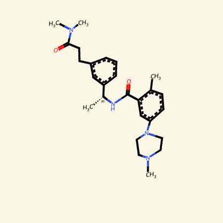 Cc1ccc(N2CCN(C)CC2)cc1C(=O)N[C@H](C)c1cccc(CCC(=O)N(C)C)c1